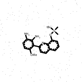 COc1ccc(N)c(N)c1-c1ccc2cccc(O[Si](C)(C)C(C)(C)C)c2n1